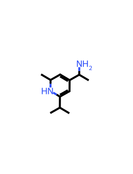 CC1C=C(C(C)N)C=C(C(C)C)N1